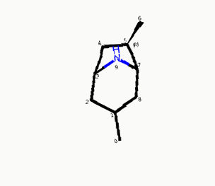 CC1CC2C[C@@H](C)C(C1)N2